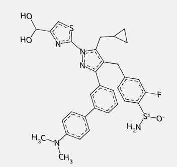 CN(C)c1ccc(-c2cccc(-c3nn(-c4nc(C(O)O)cs4)c(CC4CC4)c3Cc3ccc([S+](N)[O-])c(F)c3)c2)cc1